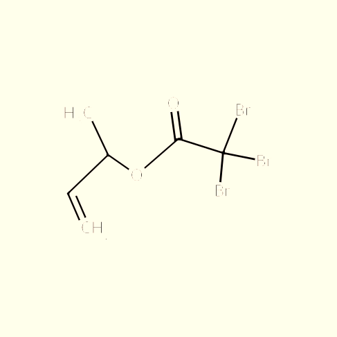 C=CC(C)OC(=O)C(Br)(Br)Br